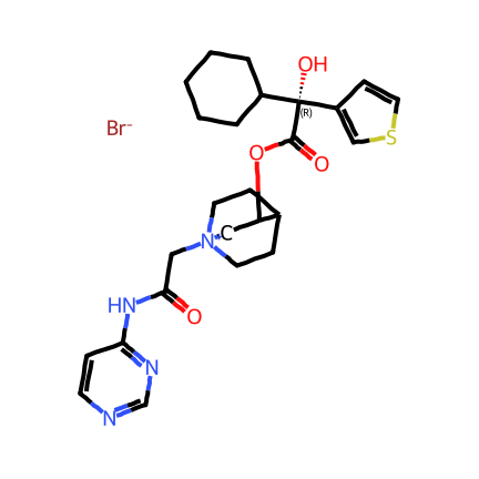 O=C(C[N+]12CCC(CC1)C(OC(=O)[C@](O)(c1ccsc1)C1CCCCC1)C2)Nc1ccncn1.[Br-]